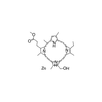 CCC1=C(C)c2cc3[nH]c(cc4nc(c(C)c5cc(C)c(cc1n2)[nH]5)C(CCC(=O)OC)C4C)c(C)c3CO.[Zn]